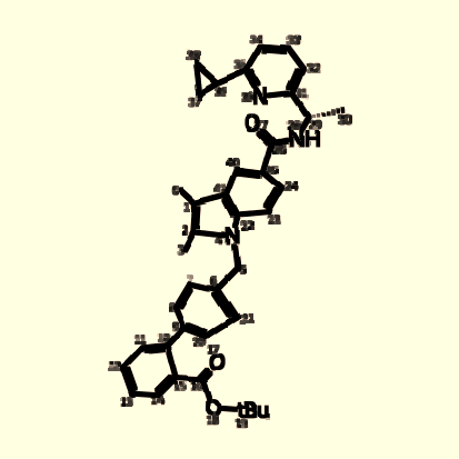 Cc1c(C)n(Cc2ccc(-c3ccccc3C(=O)OC(C)(C)C)cc2)c2ccc(C(=O)N[C@@H](C)c3cccc(C4CC4)n3)cc12